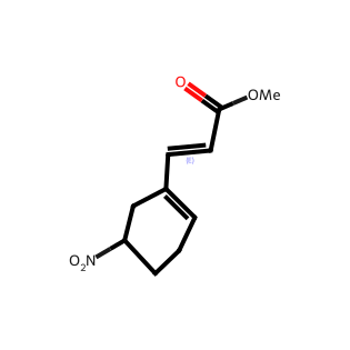 COC(=O)/C=C/C1=CCCC([N+](=O)[O-])C1